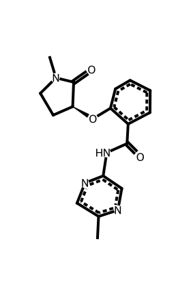 Cc1cnc(NC(=O)c2ccccc2O[C@H]2CCN(C)C2=O)cn1